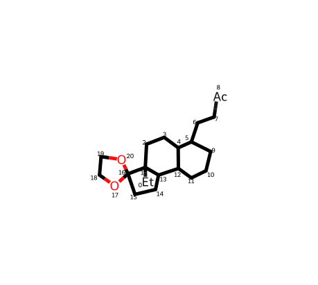 CCC12CCC3C(CCC(C)=O)CCCC3C1CCC21OCCO1